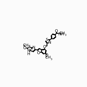 CNC(=O)c1ccc(-c2nc(COc3cc(OC)cc4oc(-c5cn6c(n5)SC(OC)N6)cc34)cs2)cc1